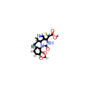 COC(=O)c1sc2ncc(C#N)c3c2c1NC(=O)N3c1c(Cl)ccc2c1OCO2